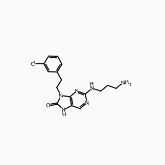 NCCCNc1ncc2[nH]c(=O)n(CCc3cccc(Cl)c3)c2n1